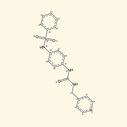 O=C(NCc1ccncc1)Nc1ccc(NS(=O)(=O)c2ccccc2)cc1